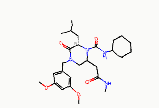 CNC(=O)CC1CN(Cc2cc(OC)cc(OC)c2)C(=O)[C@H](CC(C)C)N1C(=O)NC1CCCCC1